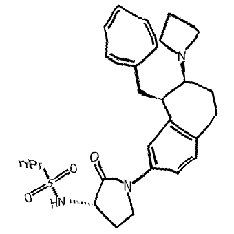 CCCS(=O)(=O)N[C@H]1CCN(c2ccc3c(c2)[C@@H](Cc2ccccc2)[C@@H](N2CCC2)CC3)C1=O